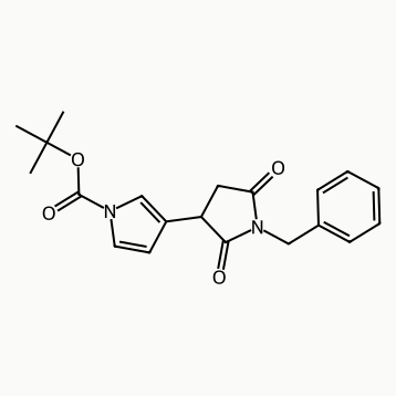 CC(C)(C)OC(=O)n1ccc(C2CC(=O)N(Cc3ccccc3)C2=O)c1